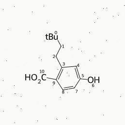 CC(C)(C)CCc1cc(O)ccc1C(=O)O